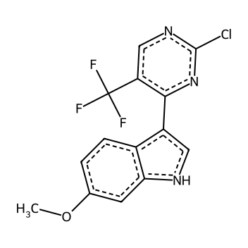 COc1ccc2c(-c3nc(Cl)ncc3C(F)(F)F)c[nH]c2c1